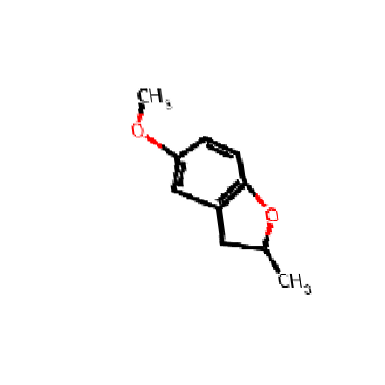 COc1ccc2c(c1)CC(C)O2